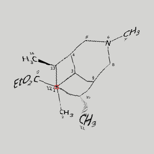 CCOC(=O)C(C)C1C2CN(C)CC1[C@H](C)C[C@H]2C